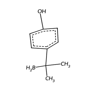 BC(C)(C)c1ccc(O)cc1